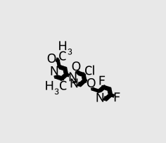 CC(=O)c1cc(-n2ncc(OCc3ncc(F)cc3F)c(Cl)c2=O)c(C)cn1